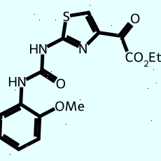 CCOC(=O)C(=O)c1csc(NC(=O)Nc2ccccc2OC)n1